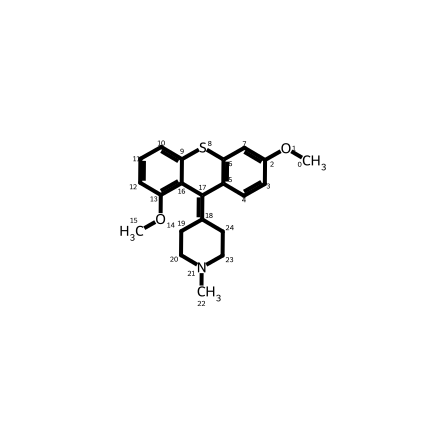 COc1ccc2c(c1)Sc1cccc(OC)c1C2=C1CCN(C)CC1